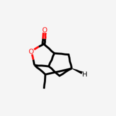 CC1C2OC(=O)C3C[C@@H]1CC32